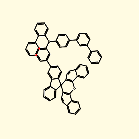 c1ccc(-c2cccc(-c3ccc(N(c4cccc(-c5ccc6c(c5)-c5ccccc5C65c6ccc7ccccc7c6Oc6c5ccc5ccccc65)c4)c4ccccc4-c4ccccc4)cc3)c2)cc1